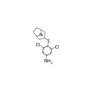 CN1C2CCC1CC(Sc1c(Cl)cc(N)cc1Cl)C2